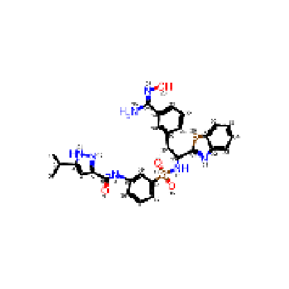 CC(C)c1cc(C(=O)Nc2cccc(S(=O)(=O)NC(Cc3cccc(/C(N)=N\O)c3)c3nc4ccccc4s3)c2)n[nH]1